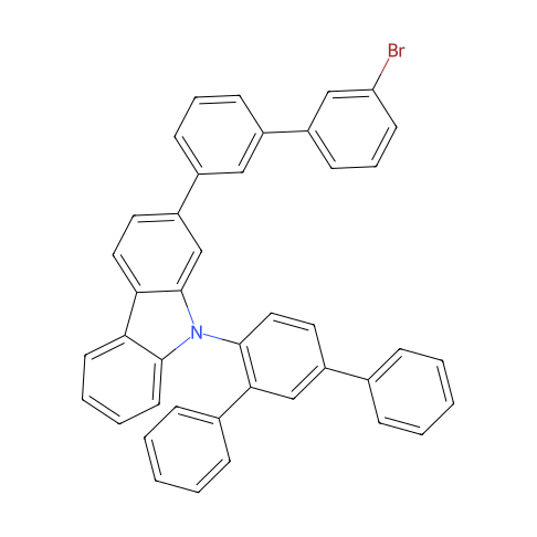 Brc1cccc(-c2cccc(-c3ccc4c5ccccc5n(-c5ccc(-c6ccccc6)cc5-c5ccccc5)c4c3)c2)c1